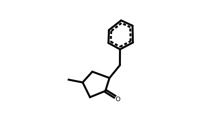 CC1CC(=O)C(Cc2ccccc2)C1